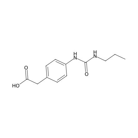 CCCNC(=O)Nc1ccc(CC(=O)O)cc1